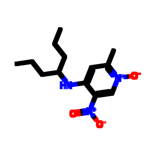 CCCC(CCC)Nc1cc(C)[n+]([O-])cc1[N+](=O)[O-]